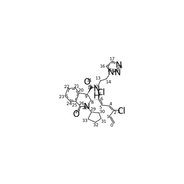 C=C/C(Cl)=C\C=C(/Cl)[C@H]1[C@H](C(=O)NCCn2ccnn2)c2ccccc2C(=O)N1C1CCCC1